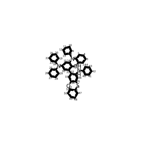 B1c2ccccc2N(c2ccccc2)c2cc(N(c3ccccc3)c3ccccc3)cc(-c3cc4c(cc3Nc3ccccc3)Sc3ccccc3O4)c21